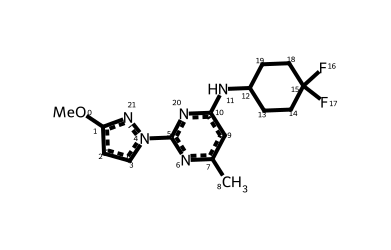 COc1ccn(-c2nc(C)cc(NC3CCC(F)(F)CC3)n2)n1